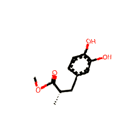 COC(=O)[C@@H](C)Cc1ccc(O)c(O)c1